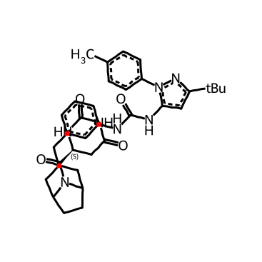 Cc1ccc(-n2nc(C(C)(C)C)cc2NC(=O)Nc2cccc(CC3CC4CCC(C3)N4C(=O)[C@@H]3CC(=O)NC(=O)N3)c2)cc1